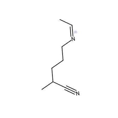 C/C=N\CCCC(C)C#N